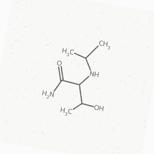 CC(C)NC(C(N)=O)C(C)O